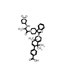 CC(NC1CCS(=O)(=O)C1)C(=O)N1CCC(C(=O)N2CC=C3C(C)(C)C(c4ccc(C(=O)O)cc4)=CC[C@]3(C)C2)(c2ccccc2)CC1